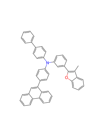 Cc1c(-c2cccc(N(c3ccc(-c4ccccc4)cc3)c3ccc(-c4cc5ccccc5c5ccccc45)cc3)c2)oc2ccccc12